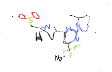 C[C@H]1CCCCN1c1nc(C2C[C@H]3[C@@H](CS(=O)[O-])[N@]3C2)cc(C(F)(F)F)n1.[Na+]